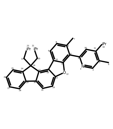 Cc1cnc(-c2c(C)ccc3c2oc2ccc4c(c23)C(CC(C)C)(CC(C)C)c2ccccc2-4)cc1C(C)C